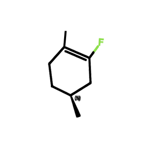 CC1=C(F)C[C@@H](C)CC1